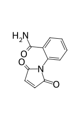 NC(=O)c1ccccc1N1C(=O)C=CC1=O